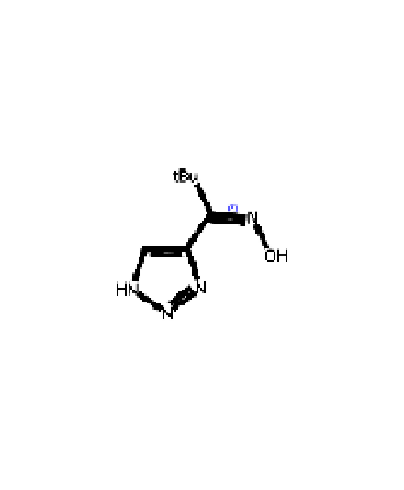 CC(C)(C)/C(=N/O)c1c[nH]nn1